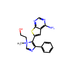 C[N+]1(CCO)C=NC(c2ccccc2)=C1c1cc2c(N)ncnc2s1